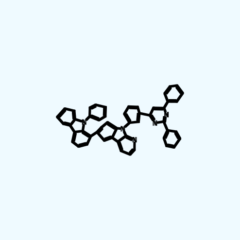 c1ccc(-c2cc(-c3cccc(-n4c5ccc(-c6cccc7c8ccccc8n(-c8ccccc8)c67)cc5c5cccnc54)c3)nc(-c3ccccc3)n2)cc1